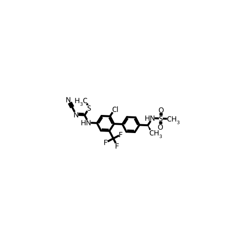 CS/C(=N\C#N)Nc1cc(Cl)c(-c2ccc([C@H](C)NS(C)(=O)=O)cc2)c(C(F)(F)F)c1